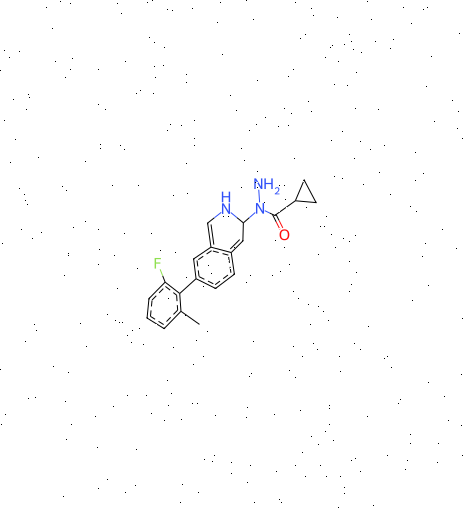 Cc1cccc(F)c1-c1ccc2c(c1)=CNC(N(N)C(=O)C1CC1)C=2